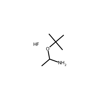 CC(N)OC(C)(C)C.F